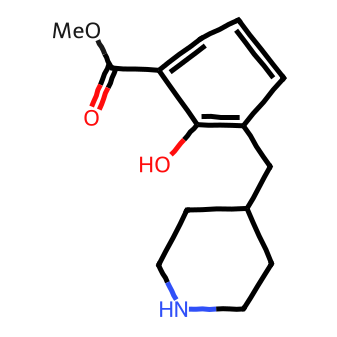 COC(=O)c1cccc(CC2CCNCC2)c1O